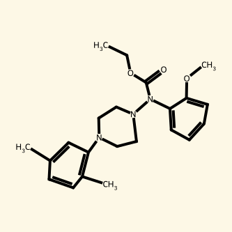 CCOC(=O)N(c1ccccc1OC)N1CCN(c2cc(C)ccc2C)CC1